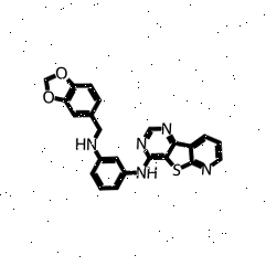 c1cc(NCc2ccc3c(c2)OCO3)cc(Nc2ncnc3c2sc2ncccc23)c1